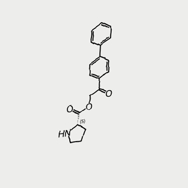 O=C(COC(=O)[C@@H]1CCCN1)c1ccc(-c2ccccc2)cc1